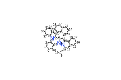 c1ccc(-n2c(-c3nn4c(C5CC5)cc5ccccc5c4c3-c3cccc4ccccc34)cc3ccccc32)cc1